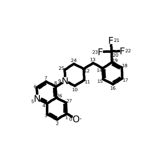 [O]c1ccc2nccc(N3CCC(Cc4ccccc4C(F)(F)F)CC3)c2c1